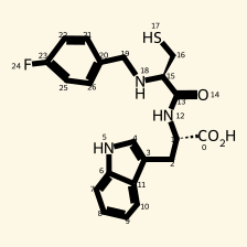 O=C(O)[C@H](Cc1c[nH]c2ccccc12)NC(=O)[C@H](CS)NCc1ccc(F)cc1